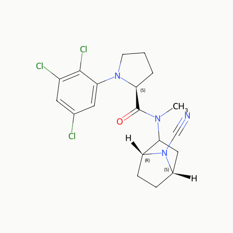 CN(C(=O)[C@@H]1CCCN1c1cc(Cl)cc(Cl)c1Cl)C1C[C@@H]2CC[C@H]1N2C#N